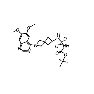 COc1cc2ncnc(N3CC4(CC(NS(=O)(=O)NC(=O)OC(C)(C)C)C4)C3)c2cc1OC